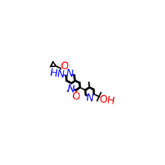 Cc1cc(C(C)(C)O)ncc1-c1cc2cnc(NC(=O)C3CC3)cc2n(C)c1=O